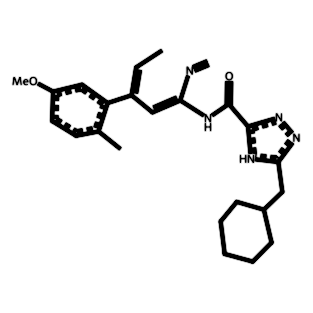 C=N/C(=C\C(=C/C)c1cc(OC)ccc1C)NC(=O)c1nnc(CC2CCCCC2)[nH]1